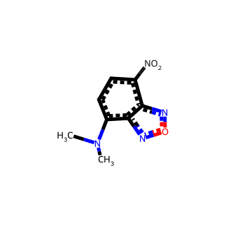 CN(C)c1ccc([N+](=O)[O-])c2nonc12